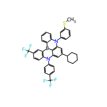 CSc1cccc(N2c3ccccc3B3c4cc(C(F)(F)F)ccc4N(c4ccc(C(F)(F)F)cc4)c4cc(C5CCCCC5)cc2c43)c1